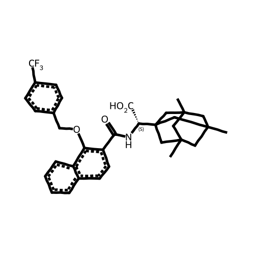 CC12CC3(C)CC(C)(C1)CC([C@H](NC(=O)c1ccc4ccccc4c1OCc1ccc(C(F)(F)F)cc1)C(=O)O)(C2)C3